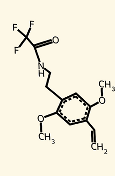 C=Cc1cc(OC)c(CCNC(=O)C(F)(F)F)cc1OC